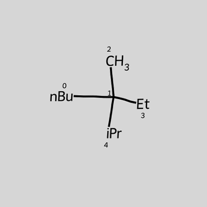 CCCCC(C)(CC)C(C)C